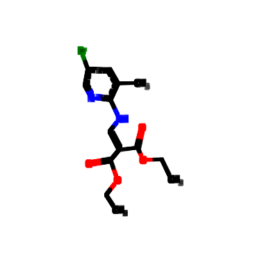 CCOC(=O)C(=CNc1ncc(Br)cc1C)C(=O)OCC